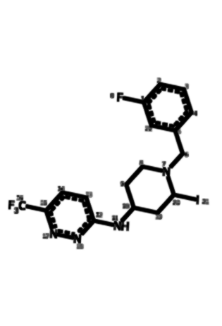 Fc1cccc(CN2CCC(Nc3ccc(C(F)(F)F)nn3)CC2I)c1